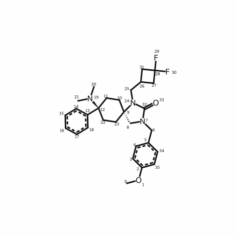 COc1ccc(CN2C[C@]3(CC[C@](c4ccccc4)(N(C)C)CC3)N(CC3CC(F)(F)C3)C2=O)cc1